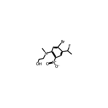 CC(F)c1cc([N+](=O)[O-])c(N(C)CCO)cc1Br